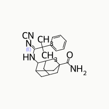 CC(C)(/C(=N\C#N)NC1C2CC3CC1CC(C(N)=O)(C3)C2)c1ccccc1